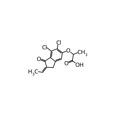 CC=C1Cc2cc(OC(C)C(=O)O)c(Cl)c(Cl)c2C1=O